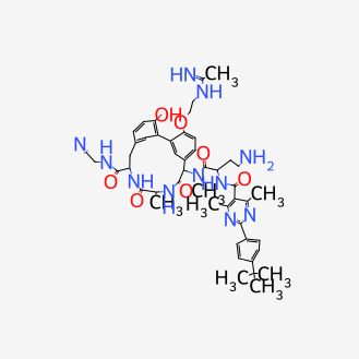 CC(=N)NCCOc1ccc2cc1-c1cc(ccc1O)CC(C(=O)NCC#N)NC(=O)C(C)NC(=O)C2N(C)C(=O)C(CCN)NC(=O)c1c(C)nc(-c2ccc(C(C)(C)C)cc2)nc1C